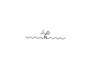 CCCCCCCCN(CCCCCCCC)C(=O)C(C)C